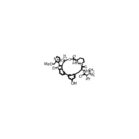 CCn1c(-c2cccnc2COC)c2c3cc(ccc31)-c1cc(O)cc(c1)C[C@H](NC(=O)[C@H](C(C)C)N(C)C(C)=O)C(=O)N1CCC[C@H](N1)C(=O)OCC(C)(C)C2